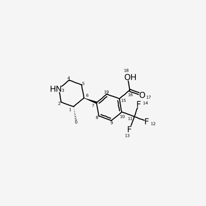 C[C@@H]1CNCC[C@H]1c1ccc(C(F)(F)F)c(C(=O)O)c1